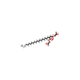 CCCCCCCCCCCCCCCCCCC(CC(=O)OCC1CO1)C(=O)OCC1CO1